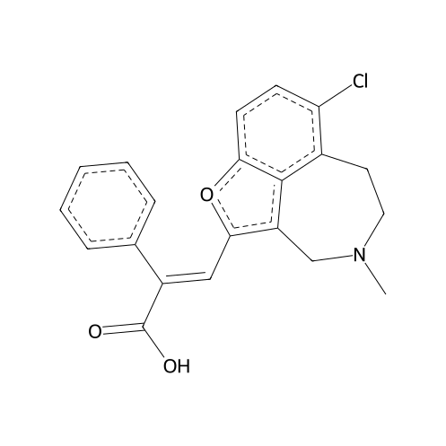 CN1CCc2c(Cl)ccc3oc(/C=C(/C(=O)O)c4ccccc4)c(c23)C1